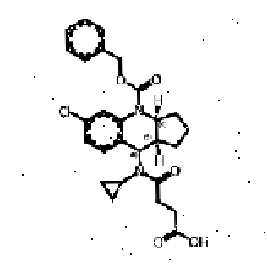 O=C(O)CCC(=O)N(C1CC1)[C@H]1c2ccc(Cl)cc2N(C(=O)OCc2ccccc2)[C@@H]2CCC[C@@H]21